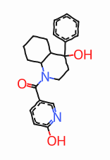 O=C(c1ccc(O)nc1)N1CCC(O)(c2ccccc2)C2CCCCC21